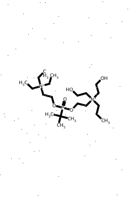 CCC[N+](CCO)(CCO)CCOP(=O)(OCC[N+](CC)(CC)CC)C(C)(C)C